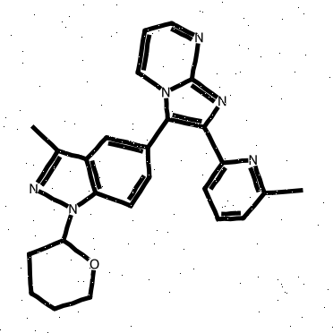 Cc1cccc(-c2nc3ncccn3c2-c2ccc3c(c2)c(C)nn3C2CCCCO2)n1